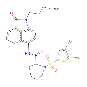 COCCCN1C(=O)c2cccc3c(NC(=O)C4CCCCN4S(=O)(=O)c4cc(Br)c(Br)s4)ccc1c23